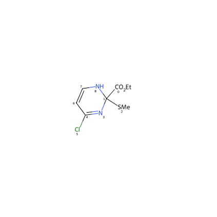 CCOC(=O)C1(SC)N=C(Cl)C=CN1